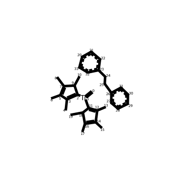 [CH2]=[Ti]([C]1=C(C)C(C)=C(C)C1C)[C]1=C(C)C(C)=C(C)C1C.c1ccc(CCc2ccccc2)cc1